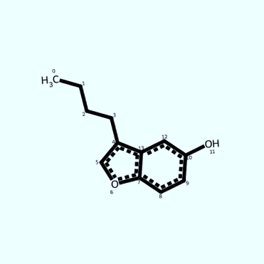 CCCCc1coc2ccc(O)cc12